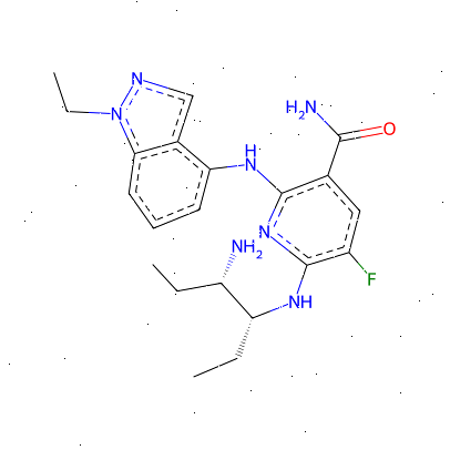 CC[C@H](N)[C@@H](CC)Nc1nc(Nc2cccc3c2cnn3CC)c(C(N)=O)cc1F